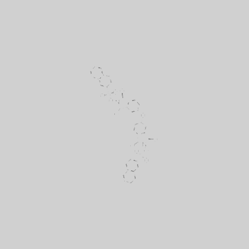 O=C1c2ccc(Oc3ccc4c(c3)C(=O)N(OS(=O)(=O)c3ccc5ccccc5c3)C4=O)cc2C(=O)N1OS(=O)(=O)c1ccc2ccccc2c1